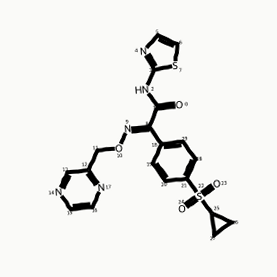 O=C(Nc1nccs1)/C(=N/OCc1cnccn1)c1ccc(S(=O)(=O)C2CC2)cc1